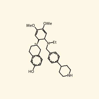 CCN(Cc1ccc(C2CCNCC2)cc1)C1C=C(OC)C(OC)=CC1[C@@H]1CCc2cc(O)ccc2C1